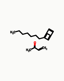 C=CC(C)=O.CCCCCCCc1cc2ccc1-2